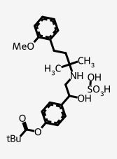 COc1ccccc1CCC(C)(C)NCC(O)c1ccc(OC(=O)C(C)(C)C)cc1.O=S(=O)(O)O